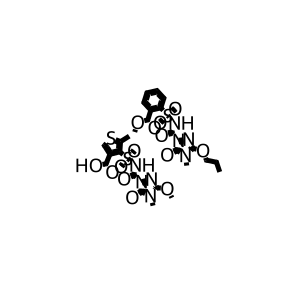 CCCOc1nn(C(=O)NS(=O)(=O)c2ccccc2C(=O)OC)c(=O)n1C.COc1nn(C(=O)NS(=O)(=O)c2c(C(=O)O)csc2C)c(=O)n1C